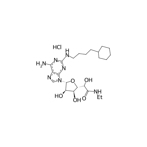 CCNC(=O)C(O)[C@H]1O[C@@H](n2cnc3c(N)nc(NCCCCC4CCCCC4)nc32)[C@H](O)[C@@H]1O.Cl